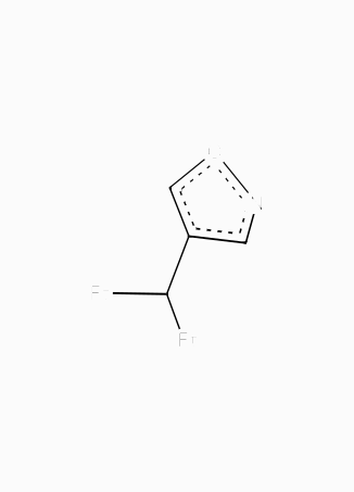 CCC(CC)c1cnoc1